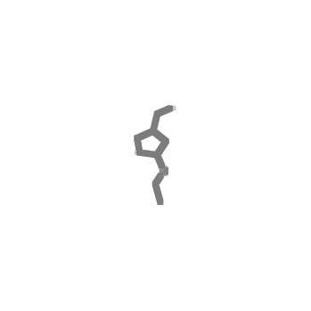 [CH2]CC1C[CH]C(OCC)C1